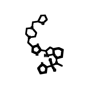 CN(c1cccc2c1NC(c1ncc(CN3CCN(CC4CCCO4)CC3)s1)C2)S(=O)(=O)c1cccs1